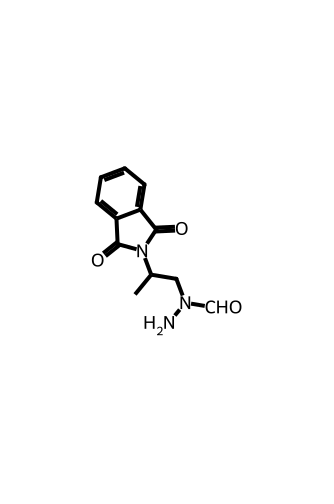 CC(CN(N)C=O)N1C(=O)c2ccccc2C1=O